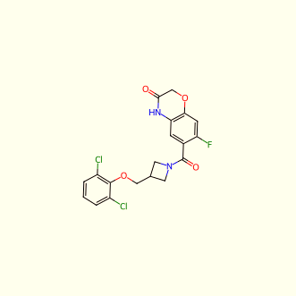 O=C1COc2cc(F)c(C(=O)N3CC(COc4c(Cl)cccc4Cl)C3)cc2N1